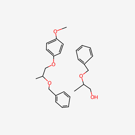 CC(CO)OCc1ccccc1.COc1ccc(OCC(C)OCc2ccccc2)cc1